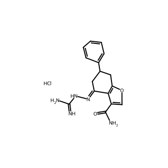 Cl.N=C(N)N/N=C1\CC(c2ccccc2)Cc2occ(C(N)=O)c21